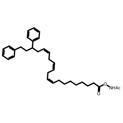 CC(=O)NOC(=O)CCCCCCC/C=C\C/C=C\C/C=C\CC(CCc1ccccc1)c1ccccc1